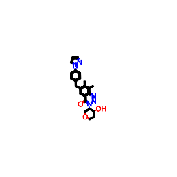 Cc1c(Cc2ccc(-n3cccn3)cc2)cc2c(=O)n([C@H]3COCC[C@@H]3O)nnc2c1C